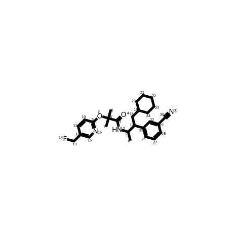 CC(NC(=O)C(C)(C)Oc1ccc(CF)cn1)C(CC1CCCCC1)c1cccc(C#N)c1